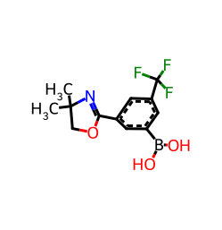 CC1(C)COC(c2cc(B(O)O)cc(C(F)(F)F)c2)=N1